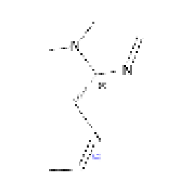 C=N[C@H](C/N=C\C)N(C)C